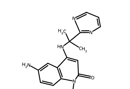 Cn1c(=O)cc(NC(C)(C)c2ncccn2)c2cc(N)ccc21